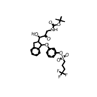 CC(C)(C)OC(=O)NCC(=O)C(O)C1Cc2ccccc2C1Oc1cccc(OS(=O)(=O)CCCC(F)(F)F)c1